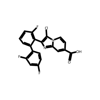 O=C(O)c1ccn2c(Cl)c(-c3c(F)cccc3-c3ccc(F)cc3F)nc2c1